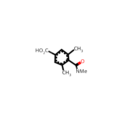 CNC(=O)c1c(C)cc(C(=O)O)cc1C